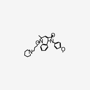 COc1ccc(N2C(=O)/C(=C/C(C)=NOCCCN3CCCCC3)C2c2ccccc2)cc1